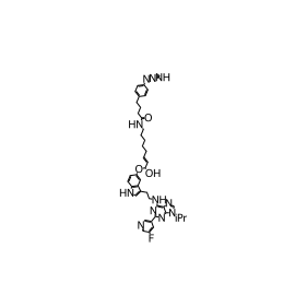 CC(C)n1cnc2c(NCCc3c[nH]c4ccc(OC(O)/C=C/CCCCCNC(=O)CCCc5ccc(N=[N+]=N)cc5)cc34)nc(-c3cncc(F)c3)nc21